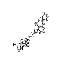 CC(N)(CN)C(=O)OCCCCCOc1cccc2c1CCCC(c1ccccc1)=C2